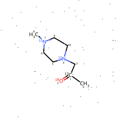 C[13C](=[18O])C[15N]1CC[15N](C)CC1